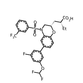 CC[C@H](C[C@H]1CN(S(=O)(=O)c2cccc(C(F)(F)F)c2)c2cc(-c3cc(F)cc(OC(F)F)c3)ccc2O1)C(=O)O